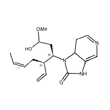 C=C[C@@H](C/C=C\C)[C@@H](CC(O)OC)N1C(=O)NC2=CN=CCC21